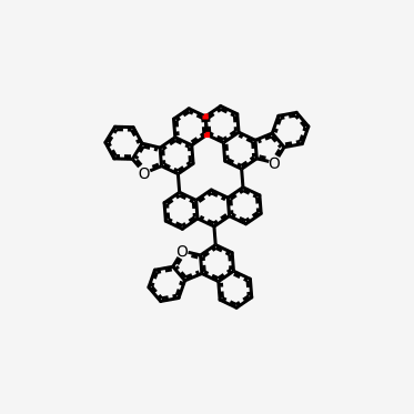 c1ccc2c(c1)cc(-c1cccc3c(-c4cc5ccccc5c5c4oc4ccccc45)c4cccc(-c5cc6ccccc6c6c5oc5ccccc56)c4cc13)c1oc3ccccc3c12